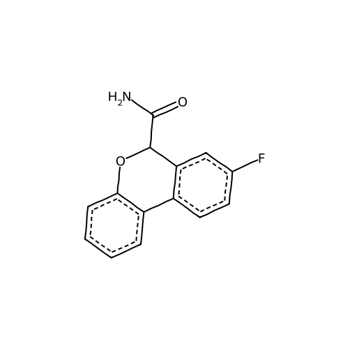 NC(=O)C1Oc2ccccc2-c2ccc(F)cc21